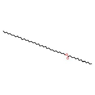 CCCCC=CCCCCCCCC(=O)OCCCCCCCCCCCCCCCCCCCCCCCCCCCCCCCCCCCC